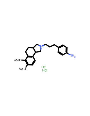 COc1ccc2c(c1OC)CCC1CN(CCCc3ccc(N)cc3)CC21.Cl.Cl